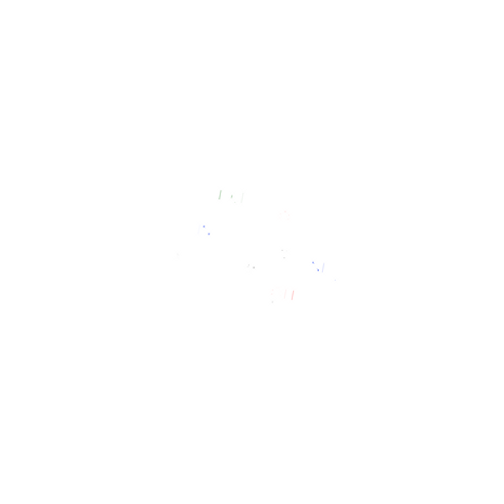 Cl.NC(=O)C1(O)CCCNC1